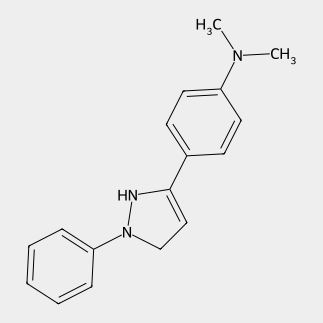 CN(C)c1ccc(C2=CCN(c3ccccc3)N2)cc1